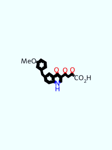 COc1cccc(Cc2ccc3[nH]cc(C(=O)CC(=O)C(=O)O)c(=O)c3c2)c1